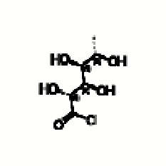 C[C@H](O)[C@H](O)[C@@H](O)[C@@H](O)C(=O)Cl